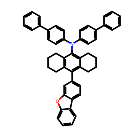 c1ccc(-c2ccc(N(c3ccc(-c4ccccc4)cc3)c3c4c(c(-c5ccc6c(c5)oc5ccccc56)c5c3CCCC5)CCCC4)cc2)cc1